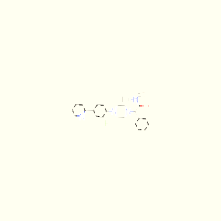 CCN(CC)C(=O)C(c1ccccc1)N1CCN(c2ccc(-c3ccccn3)cc2F)CC1